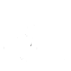 CC(C[N+](=O)[O-])ON(C(=O)c1ccccc1)[C@@H](Cc1ccc(O)cc1)C(=O)O